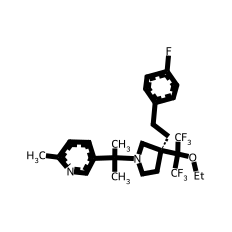 CCOC(C(F)(F)F)(C(F)(F)F)[C@@]1(CCc2ccc(F)cc2)CCN(C(C)(C)c2ccc(C)nc2)C1